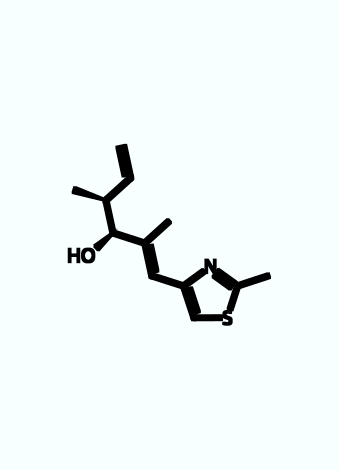 C=C[C@H](C)[C@H](O)/C(C)=C/c1csc(C)n1